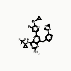 Nc1nc(NC2(C(F)(F)F)CC2)c2nc(-c3cnc(NC4CC4)c(F)c3)cc(Cc3cccc(-n4cncn4)c3)c2n1